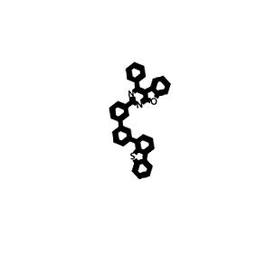 c1ccc(-c2nc(-c3cccc(-c4cccc(-c5cccc6c5sc5ccccc56)c4)c3)nc3oc4ccccc4c23)cc1